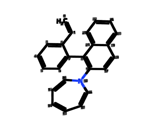 C=Cc1ccccc1-c1c(N2C=CC=CC=C2)ccc2ccccc12